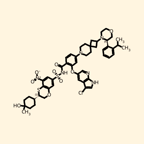 CC(C)c1ccccc1[C@@H]1COCCN1C1CC2(CCN(c3ccc(C(=O)NS(=O)(=O)c4cc5c(c([N+](=O)[O-])c4)S[C@@H](C4CCC(C)(O)CC4)CO5)c(Oc4cnc5[nH]cc(Cl)c5c4)c3)CC2)C1